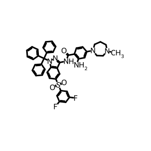 CN1CCCN(c2ccc(C(=O)Nc3nn(C(c4ccccc4)(c4ccccc4)c4ccccc4)c4ccc(S(=O)(=O)c5cc(F)cc(F)c5)cc34)c(N)c2)CC1